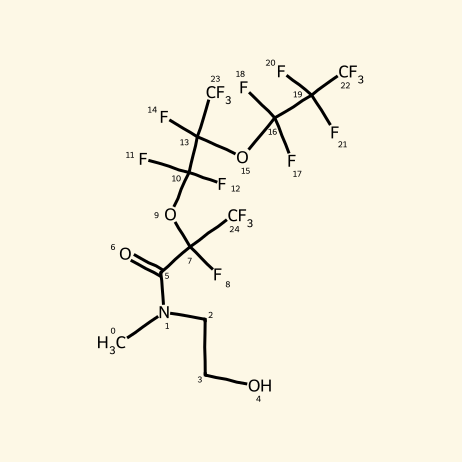 CN(CCO)C(=O)C(F)(OC(F)(F)C(F)(OC(F)(F)C(F)(F)C(F)(F)F)C(F)(F)F)C(F)(F)F